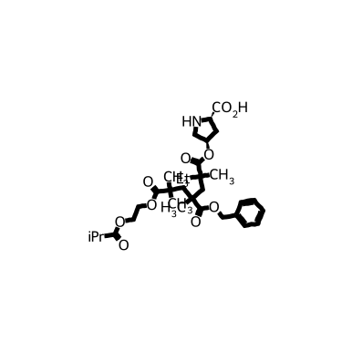 CCC(C)(CC(C)(CC(C)(C)C(=O)OCCOC(=O)C(C)C)C(=O)OCc1ccccc1)C(=O)O[C@H]1CN[C@H](C(=O)O)C1